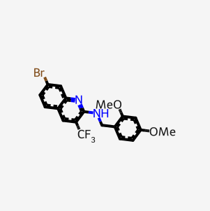 COc1ccc(CNc2nc3cc(Br)ccc3cc2C(F)(F)F)c(OC)c1